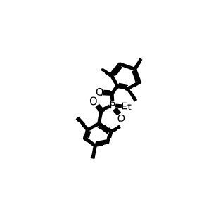 CCP(=O)(C(=O)c1c(C)cc(C)cc1C)C(=O)c1c(C)cc(C)cc1C